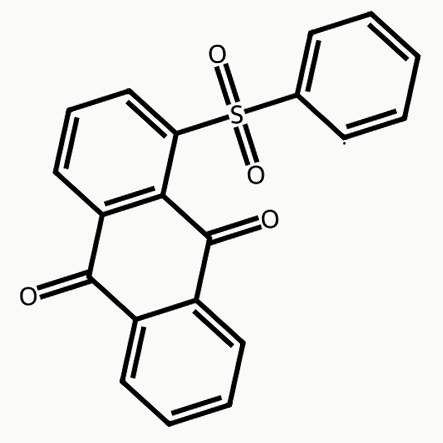 O=C1c2ccccc2C(=O)c2c1cccc2S(=O)(=O)c1[c]cccc1